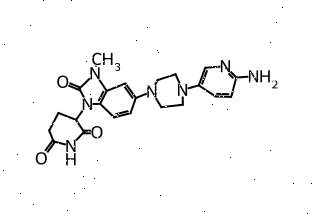 Cn1c(=O)n(C2CCC(=O)NC2=O)c2ccc(N3CCN(c4ccc(N)nc4)CC3)cc21